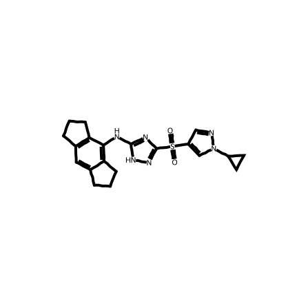 O=S(=O)(c1cnn(C2CC2)c1)c1n[nH]c(Nc2c3c(cc4c2CCC4)CCC3)n1